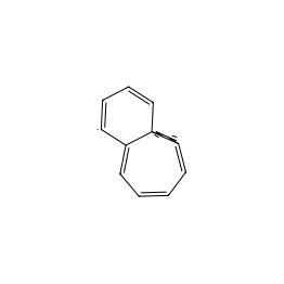 [C]1=CC=CC23C=CC=CC2=CC=CC=C13